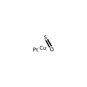 O=S.[Cu].[Pt]